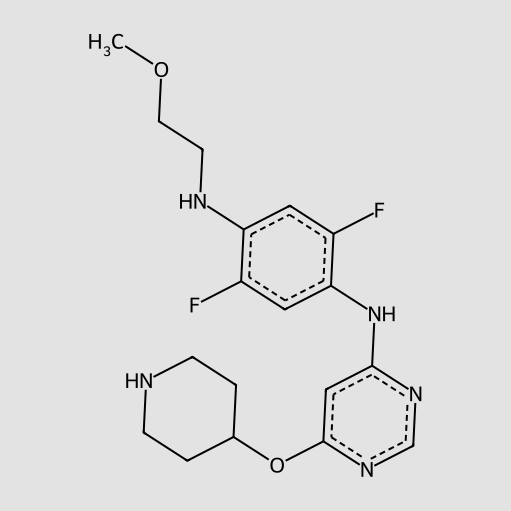 COCCNc1cc(F)c(Nc2cc(OC3CCNCC3)ncn2)cc1F